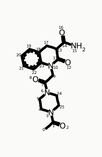 CC(=O)N1CCN(C(=O)CN2C(=O)C(C(N)=O)Cc3ccccc32)CC1